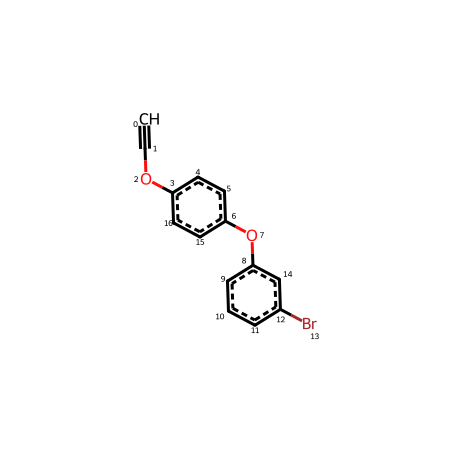 C#COc1ccc(Oc2cccc(Br)c2)cc1